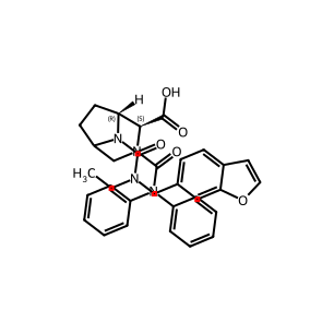 CCN(Cc1ccc2ccoc2c1)C(=O)N1C2CC[C@@H]1[C@@H](C(=O)O)N(C(=O)N(c1ccccc1)c1ccccc1)C2